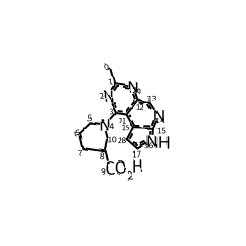 Cc1nc(N2CCCC(C(=O)O)C2)c2c(cnc3[nH]ccc32)n1